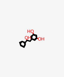 Oc1cc(O)cc(CC(O)c2ccccc2)c1